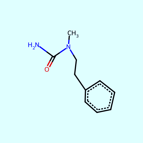 CN(CCc1ccccc1)C(N)=O